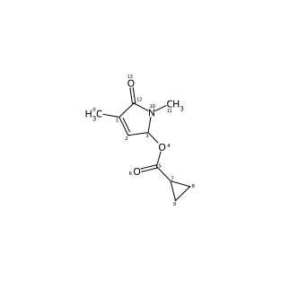 CC1=CC(OC(=O)C2CC2)N(C)C1=O